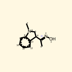 C/C(=N\O)C1CN(C)c2ccccc21